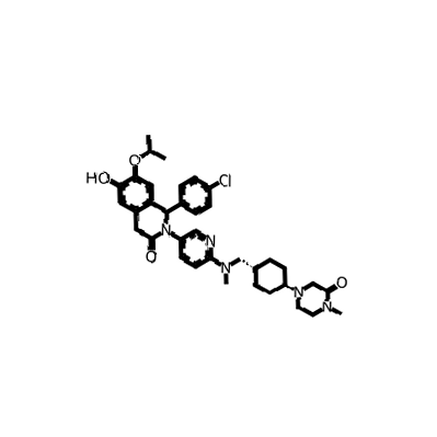 CC(C)Oc1cc2c(cc1O)CC(=O)N(c1ccc(N(C)C[C@H]3CC[C@H](N4CCN(C)C(=O)C4)CC3)nc1)C2c1ccc(Cl)cc1